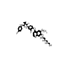 COc1cc2c(Oc3ccc(NC(=O)C4(C(=O)Nc5ccc(F)cc5)CC4)cc3F)ccnc2cc1ONCNCNCS